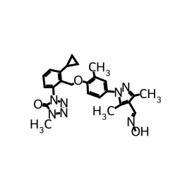 Cc1cc(-n2nc(C)c(/C=N/O)c2C)ccc1OCc1c(C2CC2)cccc1-n1nnn(C)c1=O